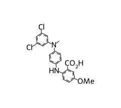 COc1ccc(Nc2ccc(N(C)c3cc(Cl)cc(Cl)c3)cc2)c(C(=O)O)c1